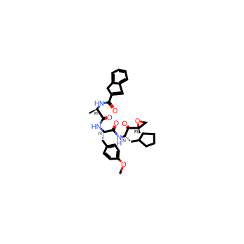 COc1ccc(C[C@H](NC(=O)[C@@H](C)NC(=O)C2=Cc3ccccc3C2)C(=O)N[C@@H](CC2CCCC2)C(=O)[C@@]2(C)CO2)cc1